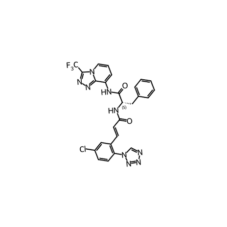 O=C(C=Cc1cc(Cl)ccc1-n1cnnn1)N[C@@H](Cc1ccccc1)C(=O)Nc1cccn2c(C(F)(F)F)nnc12